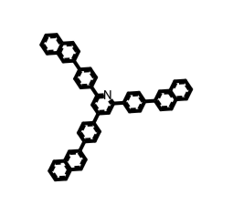 c1ccc2cc(-c3ccc(-c4cc(-c5ccc(-c6ccc7ccccc7c6)cc5)nc(-c5ccc(-c6ccc7ccccc7c6)cc5)c4)cc3)ccc2c1